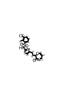 Cc1c(Cl)cccc1S(=O)(=O)Nc1nc(CCC2OC=CC=NC2=O)cs1